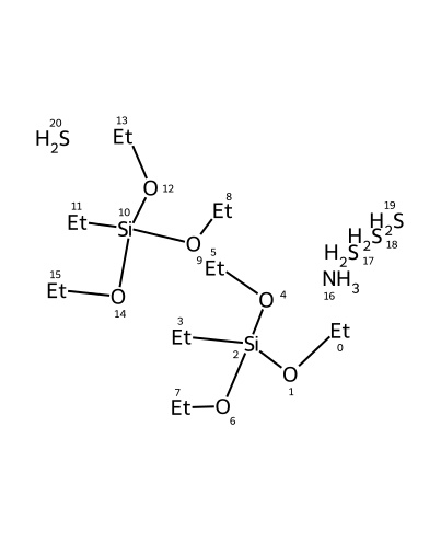 CCO[Si](CC)(OCC)OCC.CCO[Si](CC)(OCC)OCC.N.S.S.S.S